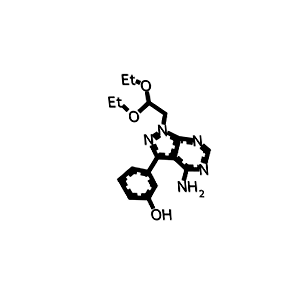 CCOC(Cn1nc(-c2cccc(O)c2)c2c(N)ncnc21)OCC